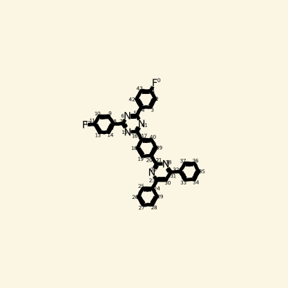 Fc1ccc(-c2nc(-c3ccc(F)cc3)nc(-c3ccc(-c4nc(-c5ccccc5)cc(-c5ccccc5)n4)cc3)n2)cc1